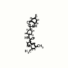 Cc1cc(C)n2ncc(C(=O)NC3CCC(C(=O)Nc4ccc(F)cc4Cl)CC3)c2n1